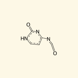 O=C=Nc1cc[nH]c(=O)n1